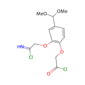 COC(OC)c1ccc(OCC(=O)Cl)c(OCC(=N)Cl)c1